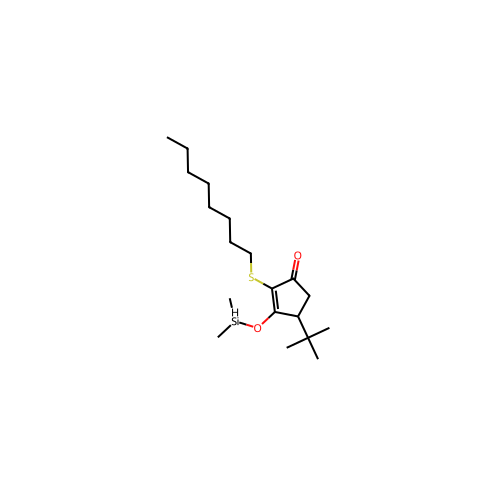 CCCCCCCCSC1=C(O[SiH](C)C)C(C(C)(C)C)CC1=O